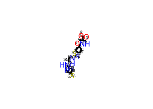 COC(=O)C(C)(C)NC(=O)c1ccc2nc(NC[C@@H](C)CNc3ncc(SC)cn3)sc2c1